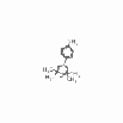 CC1(C)CN(c2ccc(N)cc2)CC(C)(C)O1